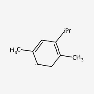 CC1=CC(C(C)C)=C(C)C[CH]1